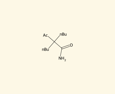 CCCCC(CCCC)(C(C)=O)C(N)=O